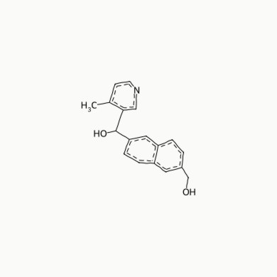 Cc1ccncc1C(O)c1ccc2cc(CO)ccc2c1